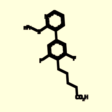 CCCSc1ncccc1-c1cc(F)c(CCCCC(=O)O)c(F)c1